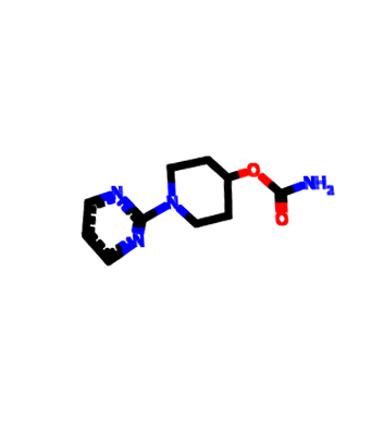 NC(=O)OC1CCN(c2ncccn2)CC1